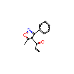 C=CC(=O)c1c(-c2ccccc2)noc1C